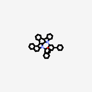 c1ccc(-c2cc(-c3ccccc3)cc(-n3c4ccccc4c4c5ccccc5c5c6c7ccccc7ccc6n(-c6ccccc6)c5c43)c2)cc1